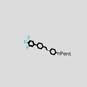 CCCCC[C@H]1CC[C@H](CCC2CCC(c3cc(F)c(F)c(F)c3)CC2)CC1